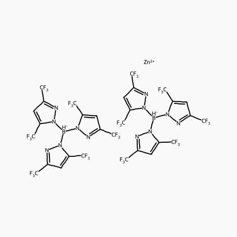 FC(F)(F)c1cc(C(F)(F)F)n([BH-](n2nc(C(F)(F)F)cc2C(F)(F)F)n2nc(C(F)(F)F)cc2C(F)(F)F)n1.FC(F)(F)c1cc(C(F)(F)F)n([BH-](n2nc(C(F)(F)F)cc2C(F)(F)F)n2nc(C(F)(F)F)cc2C(F)(F)F)n1.[Zn+2]